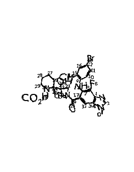 Cn1cnc2c(F)c(Nc3ccc(Br)cc3Cl)c(C(=O)N3CC(O)([C@@]4(C(C)(C)C)CCCCN4C(=O)O)C3)cc21